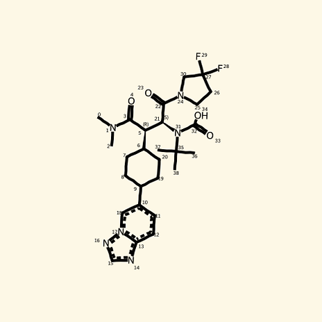 CN(C)C(=O)[C@H](C1CCC(c2ccc3ncnn3c2)CC1)[C@@H](C(=O)N1CCC(F)(F)C1)N(C(=O)O)C(C)(C)C